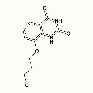 O=c1[nH]c(=O)c2cccc(OCCCCl)c2[nH]1